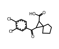 O=C(O)C1C(C(=O)c2ccc(Cl)c(Cl)c2)C12CCCC2